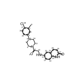 Cc1cc(N2CCN(C(=O)CNc3ccc4[nH]c(=O)ccc4c3)CC2)ccc1Cl